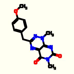 COc1ccc(Cc2nc3c(=O)n(C)c(=O)nc-3n(C)n2)cc1